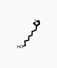 OCCCCCCCc1ccsc1